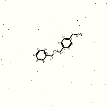 CC(C)Cc1ccc(COCc2ccccc2)cc1